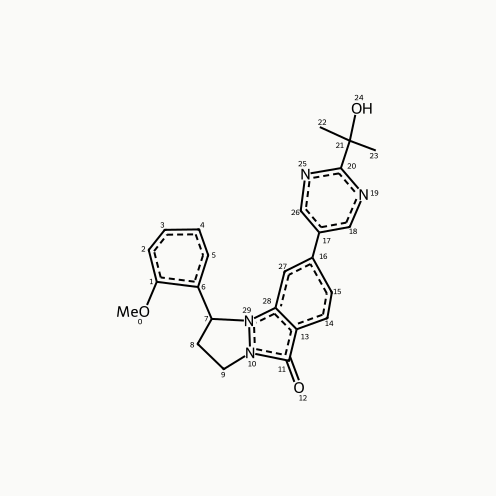 COc1ccccc1C1CCn2c(=O)c3ccc(-c4cnc(C(C)(C)O)nc4)cc3n21